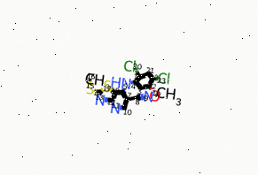 COc1cc(Nc2c(C#N)cnc3nc(SC)sc23)c(Cl)cc1Cl